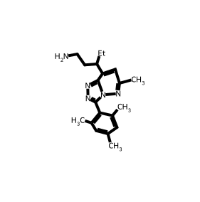 CCC(CCN)c1cc(C)nn2c(-c3c(C)cc(C)cc3C)nnc12